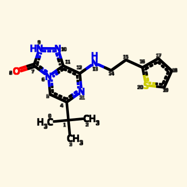 CC(C)(C)c1cn2c(=O)[nH]nc2c(NCCc2cccs2)n1